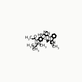 C=CC(=O)Nc1cc(Nc2cc(Nc3ccccc3-c3ccn(C)n3)ncn2)c(OC2CC2)cc1N(C)CCN(C)C